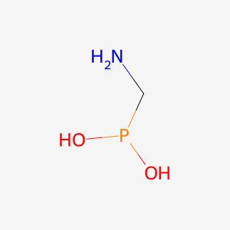 NCP(O)O